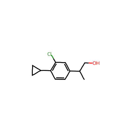 C[C](CO)c1ccc(C2CC2)c(Cl)c1